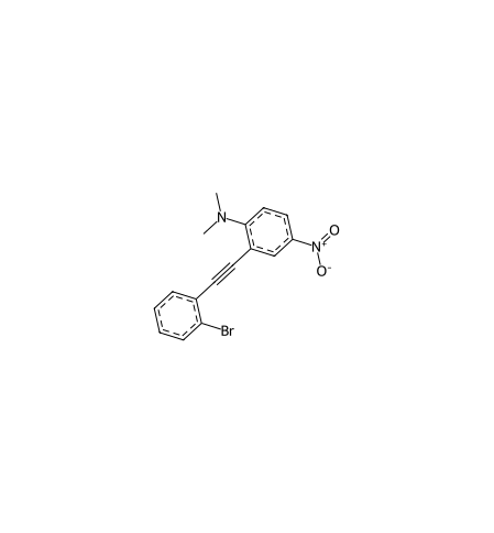 CN(C)c1ccc([N+](=O)[O-])cc1C#Cc1ccccc1Br